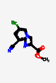 COC(=O)c1cn2cc(Br)cc(C#N)c2n1